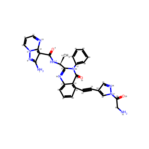 C[C@H](NC(=O)c1c(N)nn2cccnc12)c1nc2cccc(C#Cc3cnn(C(=O)CN)c3)c2c(=O)n1-c1ccccc1